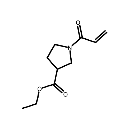 C=CC(=O)N1CCC(C(=O)OCC)C1